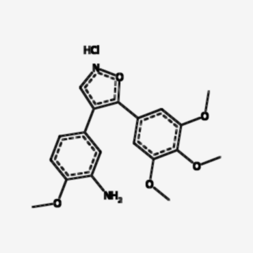 COc1ccc(-c2cnoc2-c2cc(OC)c(OC)c(OC)c2)cc1N.Cl